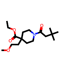 CCOC(=O)C1(CCOC)CCN(C(=O)CC(C)(C)C)CC1